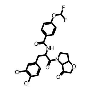 O=C(NC(Cc1ccc(Cl)c(Cl)c1)C(=O)N1CCC2OCC(=O)C21)c1ccc(OC(F)F)cc1